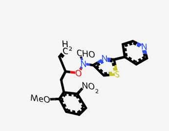 C=CC(Cc1c(OC)cccc1[N+](=O)[O-])ON(C=O)c1csc(-c2ccncc2)n1